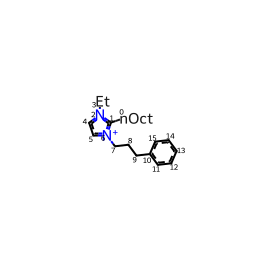 CCCCCCCCc1n(CC)cc[n+]1CCCc1ccccc1